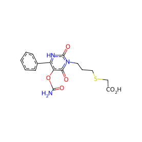 NC(=O)Oc1c(-c2ccccc2)[nH]c(=O)n(CCCSCC(=O)O)c1=O